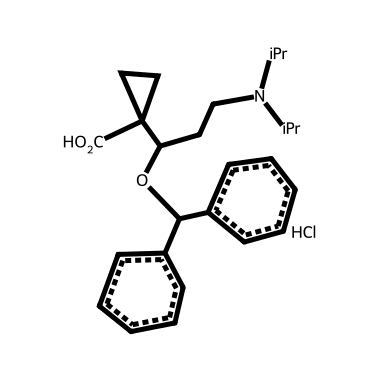 CC(C)N(CCC(OC(c1ccccc1)c1ccccc1)C1(C(=O)O)CC1)C(C)C.Cl